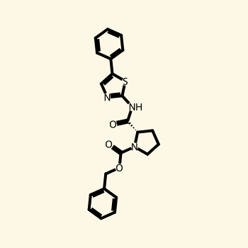 O=C(Nc1ncc(-c2ccccc2)s1)[C@@H]1CCCN1C(=O)OCc1ccccc1